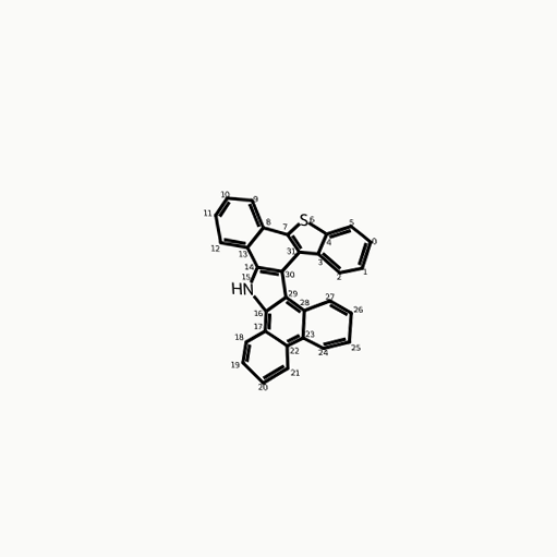 c1ccc2c(c1)sc1c3ccccc3c3[nH]c4c5ccccc5c5ccccc5c4c3c21